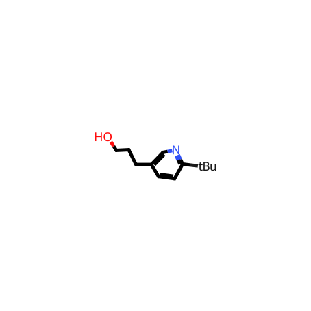 CC(C)(C)c1ccc(CCCO)cn1